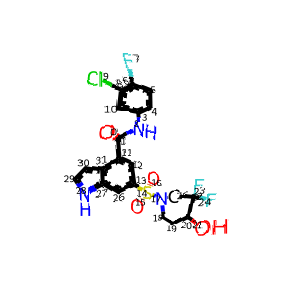 O=C(Nc1ccc(F)c(Cl)c1)c1cc(S(=O)(=O)N2CCC(O)C(F)(F)C2)cc2[nH]ccc12